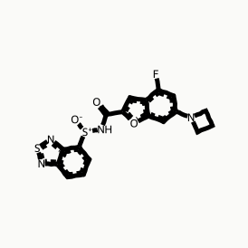 O=C(N[S+]([O-])c1cccc2nsnc12)c1cc2c(F)cc(N3CCC3)cc2o1